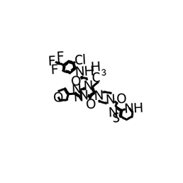 CCc1c(N2CCN(C(=O)c3nsc4c3NCCC4)CC2)c(=O)n2nc(C3=CCOCC3)nc2n1CC(=O)Nc1ccc(C(F)(F)F)cc1Cl